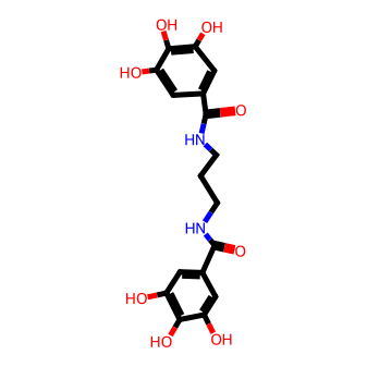 O=C(NCCCNC(=O)c1cc(O)c(O)c(O)c1)c1cc(O)c(O)c(O)c1